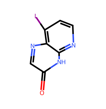 O=c1cnc2c(I)ccnc2[nH]1